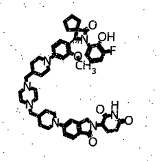 COc1cc(N2CCC(CN3CCN(CC4CCN(c5ccc6c(c5)CN(C5CCC(=O)NC5=O)C6=O)CC4)CC3)CC2)ccc1[C@@H]1N(c2cccc(F)c2O)C(=O)C12CCCC2